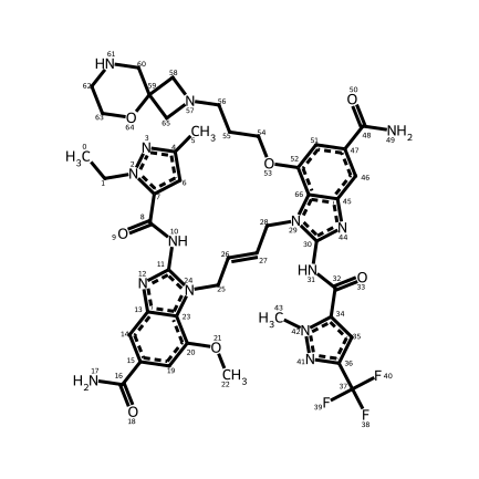 CCn1nc(C)cc1C(=O)Nc1nc2cc(C(N)=O)cc(OC)c2n1C/C=C/Cn1c(NC(=O)c2cc(C(F)(F)F)nn2C)nc2cc(C(N)=O)cc(OCCCN3CC4(CNCCO4)C3)c21